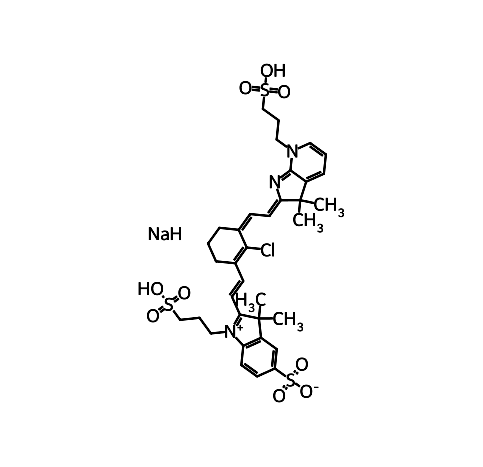 CC1(C)C(=CC=C2CCCC(C=CC3=[N+](CCCS(=O)(=O)O)c4ccc(S(=O)(=O)[O-])cc4C3(C)C)=C2Cl)N=C2C1=CC=CN2CCCS(=O)(=O)O.[NaH]